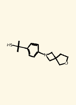 CC(C)(S)c1ccc(N2CC3(CCOC3)C2)cc1